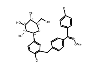 CON=C(c1ccc(F)cc1)c1ccc(Cc2cc([C@@H]3O[C@H](CO)[C@@H](O)[C@H](O)[C@H]3O)ccc2Cl)cc1